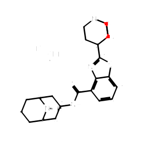 CN1C2CCCC1CC(NC(=O)c1cccc3oc(C45CCN(CC4)CC5)nc13)C2.Cl.Cl